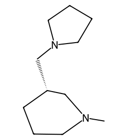 CN1CCC[C@H](CN2CCCC2)C1